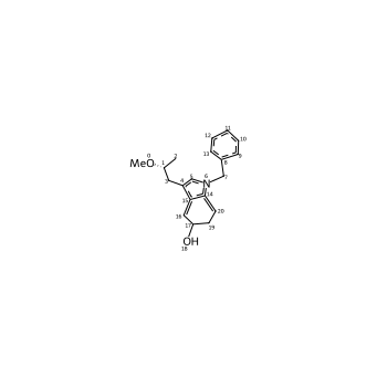 CO[C@H](C)Cc1cn(Cc2ccccc2)c2c1=CC(O)CC=2